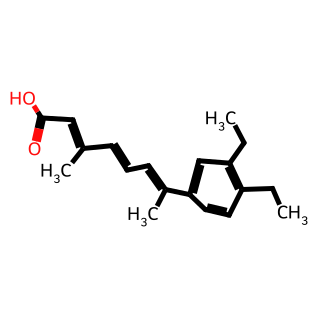 CCc1ccc(/C(C)=C/C=C/C(C)=C/C(=O)O)cc1CC